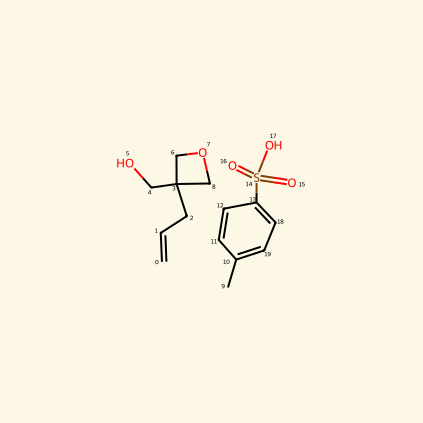 C=CCC1(CO)COC1.Cc1ccc(S(=O)(=O)O)cc1